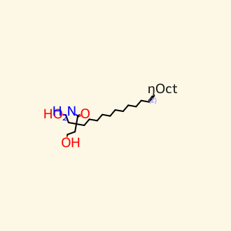 CCCCCCCC/C=C\CCCCCCCCCCC(CCO)(CCO)C(N)=O